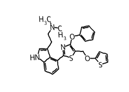 CN(C)CCc1c[nH]c2cccc(-c3nc(Oc4ccccc4)c(COc4cccs4)s3)c12